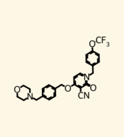 N#Cc1c(OCc2ccc(CN3CCOCC3)cc2)ccn(Cc2ccc(OC(F)(F)F)cc2)c1=O